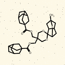 CC12CC3CC(C1)C1(OCC(COC(=O)C45CC6CC(C4)C(C6)C5)(COC(=O)C45CC6CC(C4)C(C6)C5)CO1)C3C2